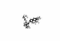 COCCOCN1C(=O)CC1(C(=O)[O-])C(=O)[O-].NC1CCCCC1.NC1CCCCC1.[NH2][Pt+].[NH2][Pt+]